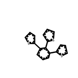 c1csc(-c2cccc(-c3cccs3)c2-c2cccs2)c1